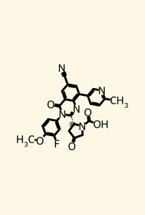 COc1ccc(-n2c([C@H]3CC(=O)CN3C(=O)O)nc3c(-c4ccc(C)nc4)cc(C#N)cc3c2=O)cc1F